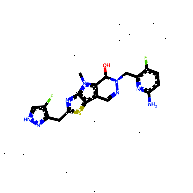 Cn1c2c(c3sc(Cc4n[nH]cc4F)nc31)C=NN(Cc1nc(N)ccc1F)C2O